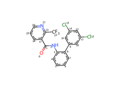 O=C(Nc1ccccc1-c1cc(Cl)cc(Cl)c1)c1cccnc1C(F)(F)F